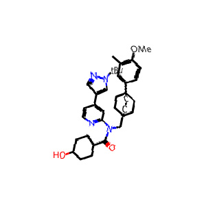 COc1ccc(C23CCC(CN(C(=O)C4CCC(O)CC4)c4cc(-c5cnn(C(C)(C)C)c5)ccn4)(CC2)CC3)cc1C